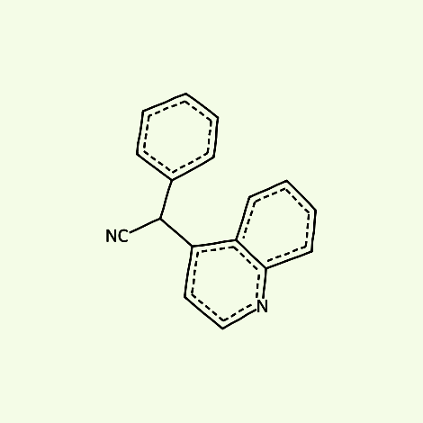 N#CC(c1ccccc1)c1ccnc2ccccc12